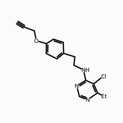 C#CCOc1ccc(CCNc2ncnc(CC)c2Cl)cc1